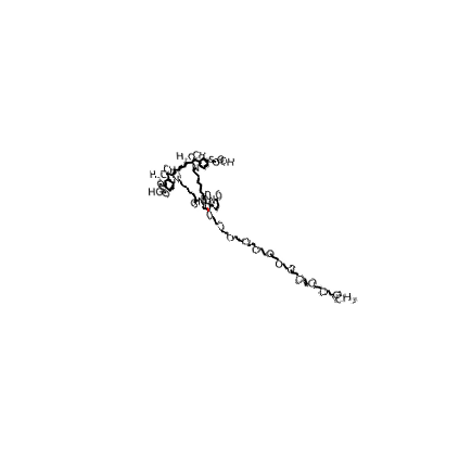 COCCOCCOCCOCCOCCOCCOCCOCCOCCOCCOCCOCCNC(=O)CCCCCN1C(=CC=CC=CC2=[N+](CCCCCC(=O)ON3C(=O)CCC3=O)c3ccc(SOOO)cc3C2(C)C)C(C)(C)c2cc(S(=O)(=O)O)ccc21